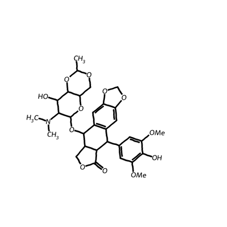 COc1cc(C2c3cc4c(cc3C(OC3OC5COC(C)OC5C(O)C3N(C)C)C3COC(=O)C23)OCO4)cc(OC)c1O